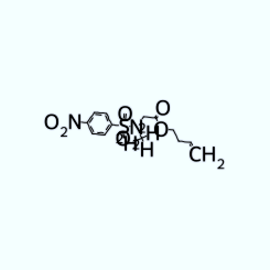 [2H]C([2H])([2H])N(CC(=O)OCCC=C)S(=O)(=O)c1ccc([N+](=O)[O-])cc1